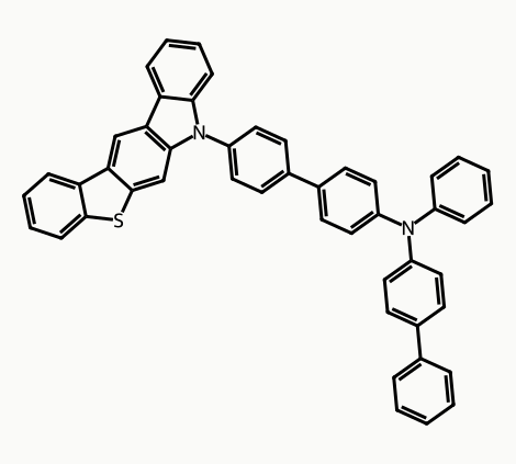 c1ccc(-c2ccc(N(c3ccccc3)c3ccc(-c4ccc(-n5c6ccccc6c6cc7c(cc65)sc5ccccc57)cc4)cc3)cc2)cc1